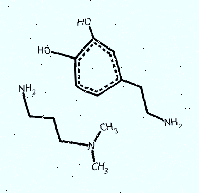 CN(C)CCCN.NCCc1ccc(O)c(O)c1